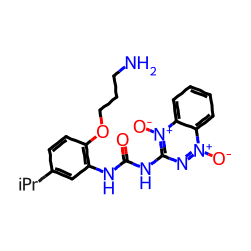 CC(C)c1ccc(OCCCN)c(NC(=O)Nc2n[n+]([O-])c3ccccc3[n+]2[O-])c1